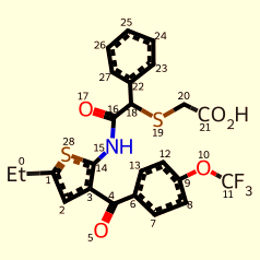 CCc1cc(C(=O)c2ccc(OC(F)(F)F)cc2)c(NC(=O)C(SCC(=O)O)c2ccccc2)s1